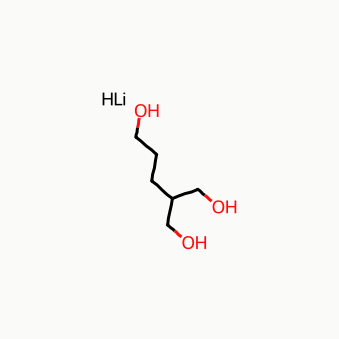 OCCCC(CO)CO.[LiH]